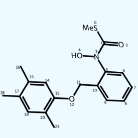 CSC(=O)N(O)c1ccccc1COc1cc(C)c(C)cc1C